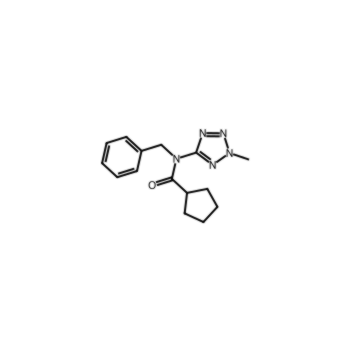 Cn1nnc(N(Cc2ccccc2)C(=O)C2CCCC2)n1